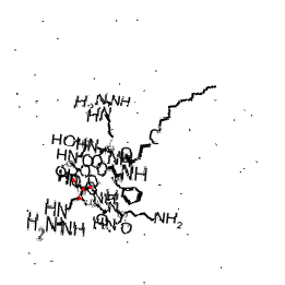 CCCCCCCCCCCCCCCC(=O)N[C@@H](Cc1ccccc1)C(=O)N[C@@H](CCCNC(=N)N)C(=O)N[C@@H](CO)C(=O)N[C@@H](CO)C(=O)N[C@@H](CCCNC(=N)N)C(=O)N[C@@H](CCC(=O)O)C(=O)N[C@@H](CCCCN)C(=O)NC